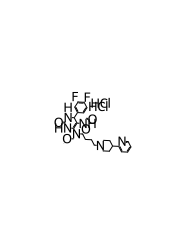 COCN(C(=O)CCCN1CCC(c2ccccn2)CC1)C1=C(NC=O)C(c2ccc(F)c(F)c2)NC(=O)N1.Cl.Cl